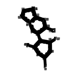 Fc1cc(F)c(-c2[c]n3ncnc3nc2Cl)c(F)c1